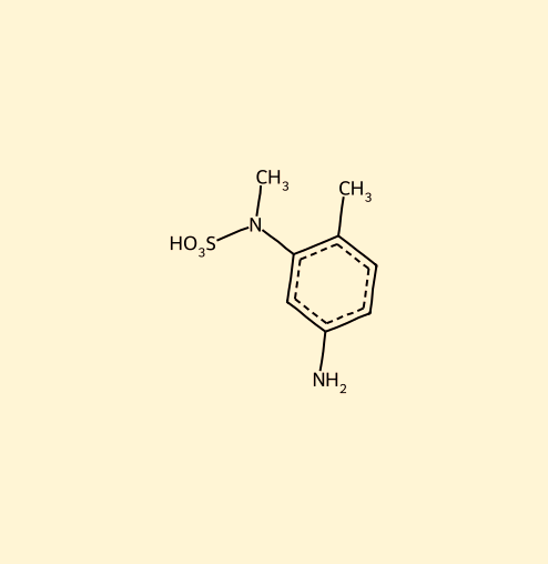 Cc1ccc(N)cc1N(C)S(=O)(=O)O